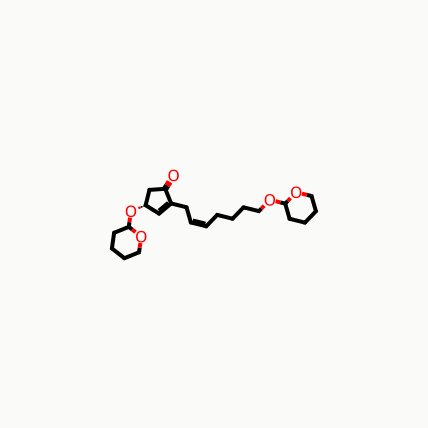 O=C1C[C@@H](OC2CCCCO2)C=C1C/C=C\CCCCOC1CCCCO1